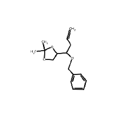 C=CCC(OCc1ccccc1)C1COC(C)(C)O1